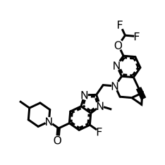 C#Cc1ccc(OC(F)F)nc1N(Cc1nc2cc(C(=O)N3CCC(C)CC3)cc(F)c2n1C)CC1CC1